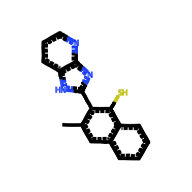 Cc1cc2ccccc2c(S)c1-c1nc2ncccc2[nH]1